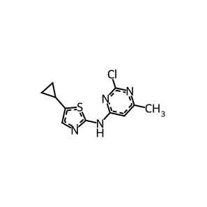 Cc1cc(Nc2ncc(C3CC3)s2)nc(Cl)n1